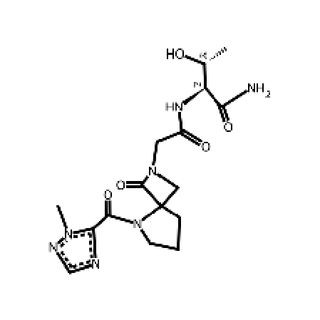 C[C@@H](O)[C@H](NC(=O)CN1CC2(CCCN2C(=O)c2ncnn2C)C1=O)C(N)=O